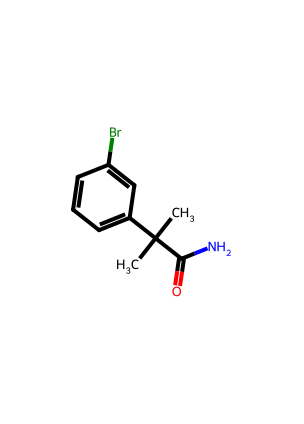 CC(C)(C(N)=O)c1cccc(Br)c1